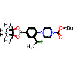 CC(F)c1cc(B2OC(C)(C)C(C)(C)O2)ccc1N1CCN(C(=O)OC(C)(C)C)CC1